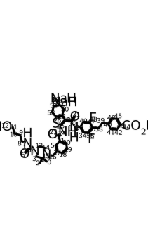 CC1(C)CN(C(=O)NCCCCO)CCN1Cc1cccc(C(=O)Nc2sc3c(c2C(=O)Nc2cc(F)c(CCc4ccc(C(=O)O)cc4)c(F)c2)CCCC3)c1.[NaH].[NaH]